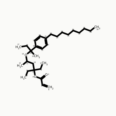 C=CC(=O)OC(CC)(CC)CC(C)OC(C)(CC)c1ccc(CCCCCCCCC)cc1